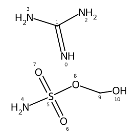 N=C(N)N.NS(=O)(=O)OCO